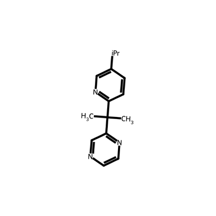 CC(C)c1ccc(C(C)(C)c2cnccn2)nc1